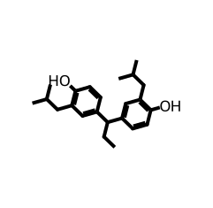 CCC(c1ccc(O)c(CC(C)C)c1)c1ccc(O)c(CC(C)C)c1